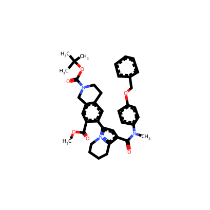 COC(=O)c1cc2c(cc1-c1cc(C(=O)N(C)c3ccc(OCc4ccccc4)cc3)c3n1CCCC3)CCN(C(=O)OC(C)(C)C)C2